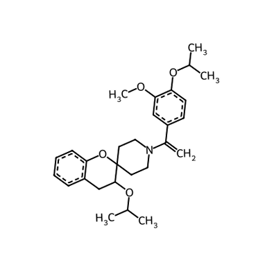 C=C(c1ccc(OC(C)C)c(OC)c1)N1CCC2(CC1)Oc1ccccc1CC2OC(C)C